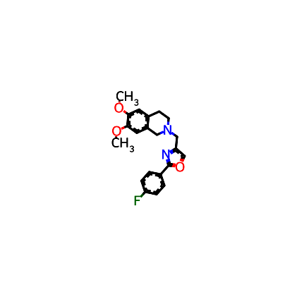 COc1cc2c(cc1OC)CN(Cc1coc(-c3ccc(F)cc3)n1)CC2